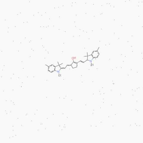 CCN1/C(=C/C=C2\CCC(/C=C/C3N(CC)c4ccc(C)cc4C3(C)C)=C2O)C(C)(C)c2cc(C)ccc21